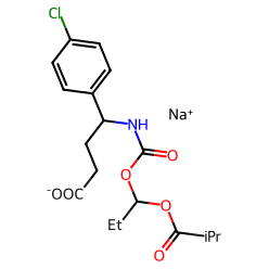 CCC(OC(=O)NC(CCC(=O)[O-])c1ccc(Cl)cc1)OC(=O)C(C)C.[Na+]